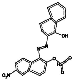 O=[N+]([O-])c1ccc2c(N=Nc3ccc4ccccc4c3O)c(O[SH](=O)=O)ccc2c1